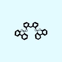 C1=CC2=C(CC1)c1ccccc1OP2Oc1ccccc1Cc1ccccc1OP1Oc2ccccc2-c2ccccc21